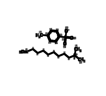 CCCCCCCCCCCCCCCCCC[S+](C)C.Cc1ccc(S(=O)(=O)[O-])cc1